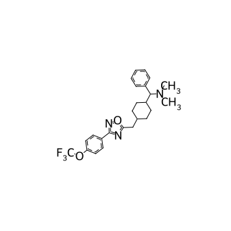 CN(C)C(c1ccccc1)C1CCC(Cc2nc(-c3ccc(OC(F)(F)F)cc3)no2)CC1